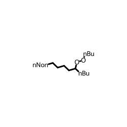 CCCCCCCCCCCCCC(CCCC)OOCCCC